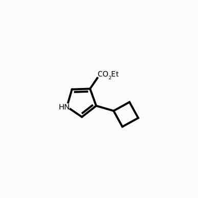 CCOC(=O)c1c[nH]cc1C1CCC1